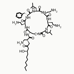 CCCCCCC[C@@H](O)CC(=O)C[C@@H](CN)C(=O)N[C@H]1CCNC(=O)[C@H](CC(C)C)NC(=O)[C@H](CCN)NC(=O)[C@H](CCN)NC(=O)[C@H](CC(C)C)NC(=O)[C@@H](Cc2ccccc2)NC(=O)[C@H](CCN)NC1=O